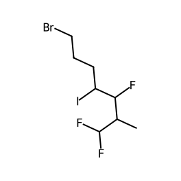 CC(C(F)F)C(F)C(I)CCCBr